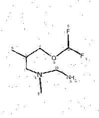 CC(COC(F)F)CN(C)CN